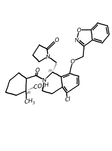 C[C@@]1(C(=O)O)CCCCC1C(=O)N1CCc2c(Cl)ccc(OCc3noc4ccccc34)c2[C@H]1CN1CCCC1=O